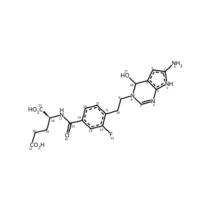 Nc1cc2c([nH]1)N=CN(CCc1ccc(C(=O)N[C@@H](CCC(=O)O)C(=O)O)cc1F)C2O